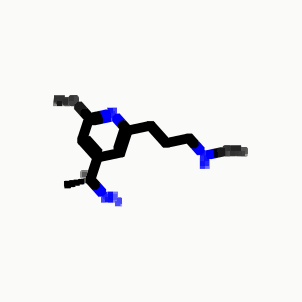 CONCCCc1cc([C@@H](C)N)cc(OC)n1